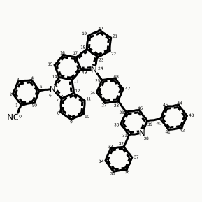 N#Cc1cccc(-n2c3ccccc3c3c2ccc2c4ccccc4n(-c4ccc(-c5cc(-c6ccccc6)nc(-c6ccccc6)c5)cc4)c23)c1